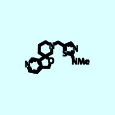 CNc1ncc(CN2CCCC3(C2)OCc2ccncc23)s1